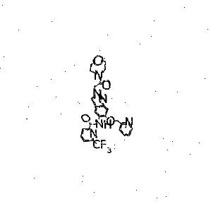 O=C(Nc1cc2cn(CC(=O)N3CCOCC3)nc2cc1OCc1ccccn1)c1cccc(C(F)(F)F)n1